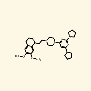 COc1cc2c(cc1OC)C(CCN1CCN(c3cc(N4CCCC4)nc(N4CCCC4)n3)CC1)OCC2